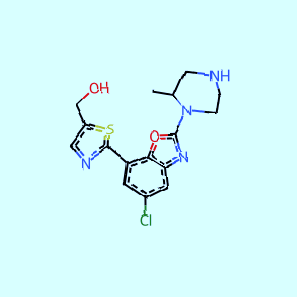 CC1CNCCN1c1nc2cc(Cl)cc(-c3ncc(CO)s3)c2o1